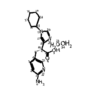 Nc1ccc(C[C@@H](C(=O)O)c2cn(C3CCCCC3)cn2)cn1.O.O